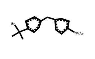 CCC(C)(C)c1ccc(Cc2ccc(NC(C)=O)cc2)cc1